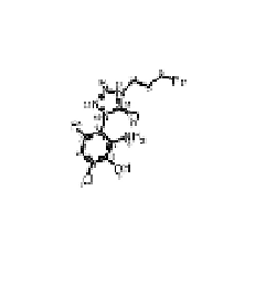 Nc1c(O)c(Cl)cc(F)c1-n1nnn(CCCF)c1=O